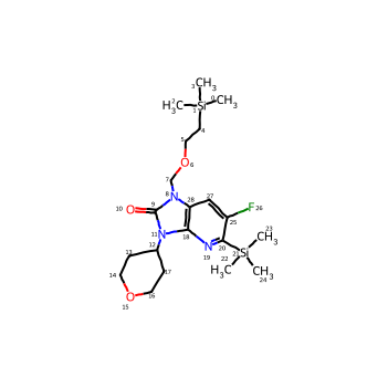 C[Si](C)(C)CCOCn1c(=O)n(C2CCOCC2)c2nc([Si](C)(C)C)c(F)cc21